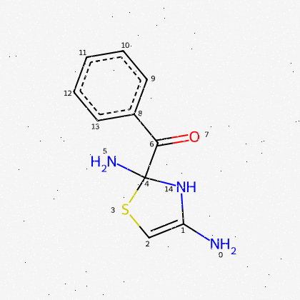 NC1=CSC(N)(C(=O)c2ccccc2)N1